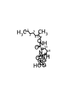 CCCCCC(C)CONC(=O)[C@@H]1CC[C@@H]2CN1C(=O)N2OS(=O)(=O)O